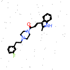 Cc1[nH]c2ccccc2c1C=CC(=O)N1CCN(CCc2cccc(F)c2)CC1